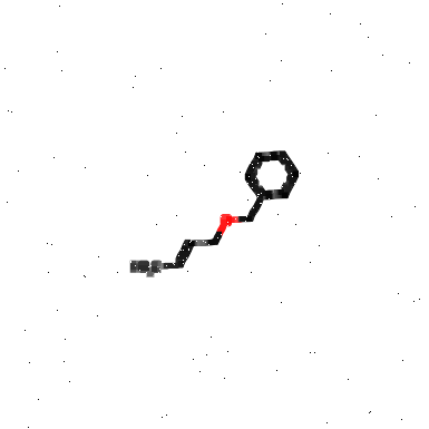 O=C(O)C=CCOCc1ccccc1